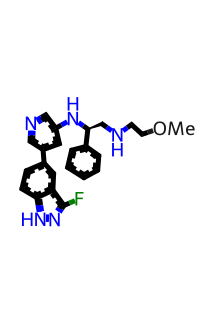 COCCNC[C@H](Nc1cncc(-c2ccc3[nH]nc(F)c3c2)c1)c1ccccc1